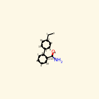 CCc1ccc(-c2ccccc2C(N)=O)cc1